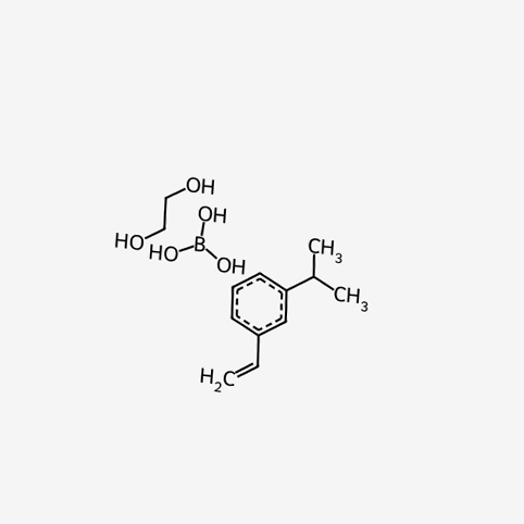 C=Cc1cccc(C(C)C)c1.OB(O)O.OCCO